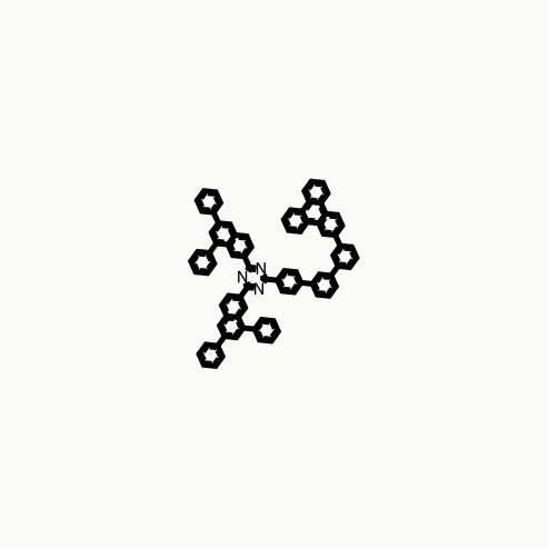 c1ccc(-c2cc(-c3ccccc3)c3cc(-c4nc(-c5ccc(-c6cccc(-c7cccc(-c8ccc9c%10ccccc%10c%10ccccc%10c9c8)c7)c6)cc5)nc(-c5ccc6cc(-c7ccccc7)cc(-c7ccccc7)c6c5)n4)ccc3c2)cc1